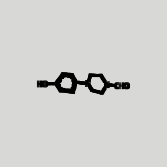 O=CN1CCN(c2ccc(O)cc2)CC1